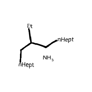 CCCCCCCCC(CC)CCCCCCCC.N